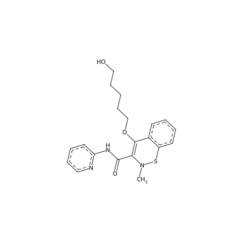 CN1Sc2ccccc2C(OCCCCCO)=C1C(=O)Nc1ccccn1